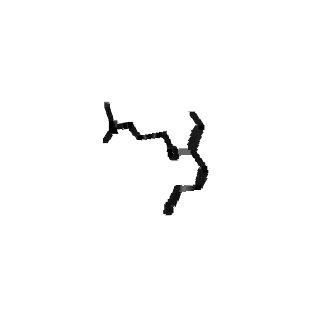 C/C=C(/C=C\C=S)OCCCN(C)C